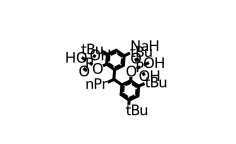 CCCC(c1cc(C(C)(C)C)cc(C(C)(C)C)c1OP(=O)(O)O)c1cc(C(C)(C)C)cc(C(C)(C)C)c1OP(=O)(O)O.[NaH]